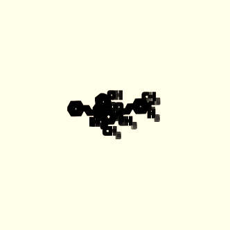 CCC1CC(N(C)C(=O)CCc2ccc(C)c(C)c2)C2Oc3c(O)ccc4c3[C@@]23CCN(CCc2ccccc2)[C@H](C4)[C@]13O